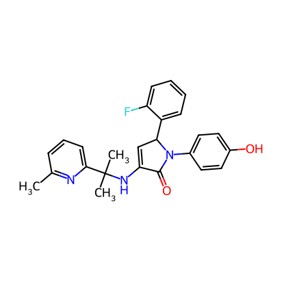 Cc1cccc(C(C)(C)NC2=CC(c3ccccc3F)N(c3ccc(O)cc3)C2=O)n1